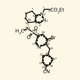 CCOC(=O)Cn1ncc2c1CCC[C@H]2N(C)S(=O)(=O)c1cnc(Cc2ccc(C#N)cc2)c(Br)c1